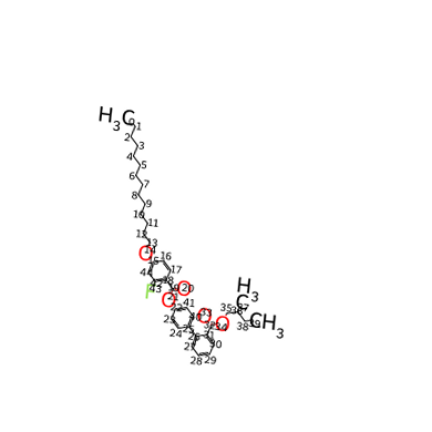 CCCCCCCCCCCCCCOc1ccc(C(=O)Oc2ccc(-c3ccccc3C(=O)OCC(C)CC)cc2)c(F)c1